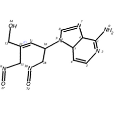 NC1=NC=CC2C1N=CN2C(/C=C(/CO)CN=O)CN=O